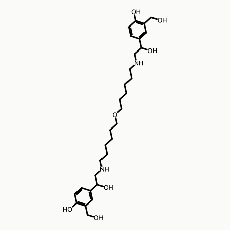 OCc1cc(C(O)CNCCCCCCOCCCCCCNCC(O)c2ccc(O)c(CO)c2)ccc1O